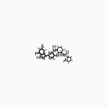 CN1CCC[C@H]1C(=O)N[C@H]1CCC[C@@H](Nc2nc(-c3c[nH]c4c(F)cc(F)cc34)ncc2F)C1